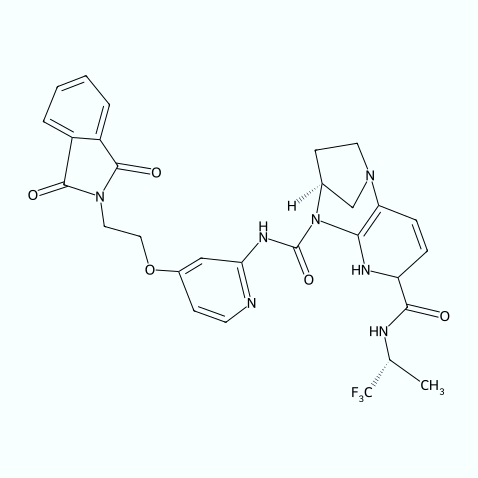 C[C@@H](NC(=O)C1C=CC2=C(N1)N(C(=O)Nc1cc(OCCN3C(=O)c4ccccc4C3=O)ccn1)[C@H]1CCN2C1)C(F)(F)F